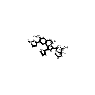 COc1cc2c(cc1-c1ccn(C)n1)-c1c(-c3cccs3)cc(C(=O)N3CCC[C@]3(C)[C@@H](C)O)n1[C@@H](C)C2